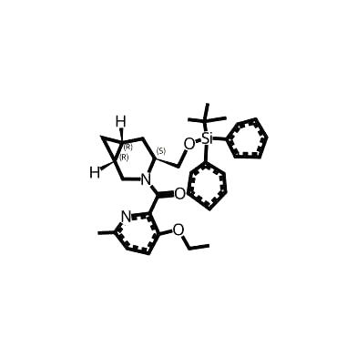 CCOc1ccc(C)nc1C(=O)N1C[C@@H]2C[C@@H]2C[C@H]1CO[Si](c1ccccc1)(c1ccccc1)C(C)(C)C